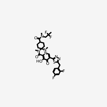 CN(CC(C)(F)F)C(=O)C1CCC2(CC1)N(C)C(=O)c1c(O)c(=O)c(-c3nnc(Cc4ccc(F)cc4F)s3)cn1N2C